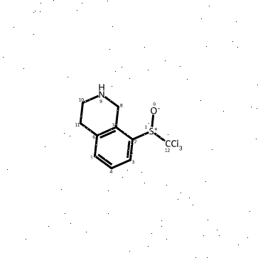 [O-][S+](c1cccc2c1CNCC2)C(Cl)(Cl)Cl